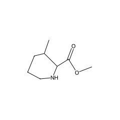 COC(=O)C1NCCCC1C